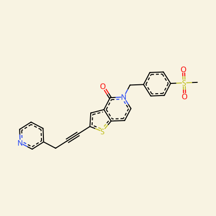 CS(=O)(=O)c1ccc(Cn2ccc3sc(C#CCc4cccnc4)cc3c2=O)cc1